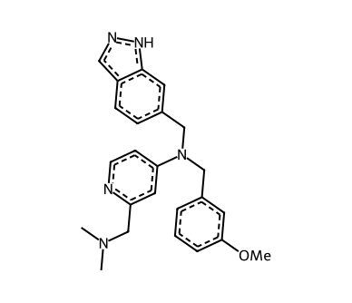 COc1cccc(CN(Cc2ccc3cn[nH]c3c2)c2ccnc(CN(C)C)c2)c1